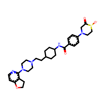 O=C(NC1CCC(CCN2CCN(c3nccc4c3CCO4)CC2)CC1)c1ccc(N2CC[S+]([O-])C(=O)C2)cc1